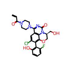 C=CC(=O)N1CCN(c2nc(=O)n3c4c(c(-c5c(O)cccc5F)c(Cl)cc24)OC[C@@H]3CO)CC1